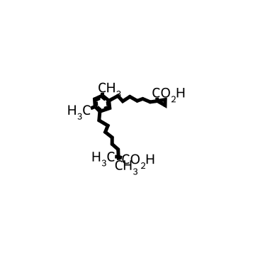 Cc1cc(C)c(CCCCCCC2(C(=O)O)CC2)cc1CCCCCCC(C)(C)C(=O)O